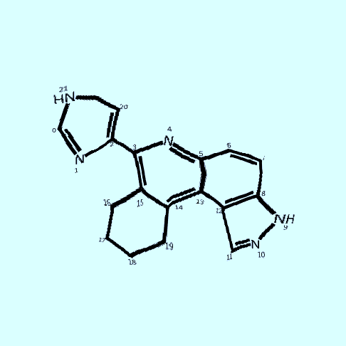 c1nc(-c2nc3ccc4[nH]ncc4c3c3c2CCCC3)c[nH]1